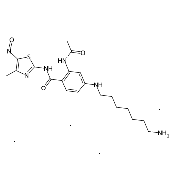 CC(=O)Nc1cc(NCCCCCCCN)ccc1C(=O)Nc1nc(C)c(N=O)s1